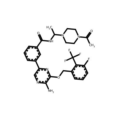 CC(=O)N1CCN(C(C)NC(=O)c2cccc(-c3cnc(N)c(OCc4cccc(F)c4C(F)(F)F)n3)c2)CC1